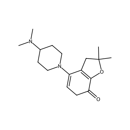 CN(C)C1CCN(C2=CCC(=O)C3=C2CC(C)(C)O3)CC1